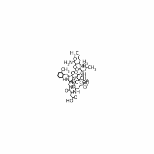 CCCCC(NC(=O)[C@H](CC(C)C)NC(=O)[C@@H](NC(=O)[C@H](Cc1ccccc1C)NC(=O)CNC(=O)[C@H](CC(=O)O)NC(=O)CCC(=O)O)C(C)(C)C)C(=O)C(N)=O